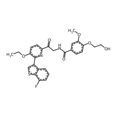 CCOc1ccc(C(=O)CNC(=O)c2ccc(OCCO)c(OC)c2)nc1-c1csc2c(F)cccc12